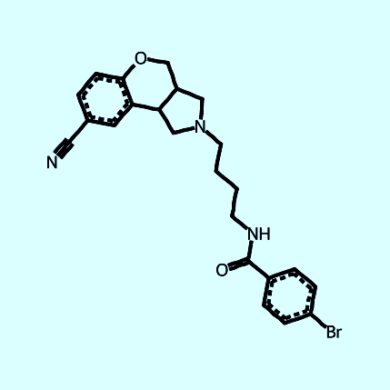 N#Cc1ccc2c(c1)C1CN(CCCCNC(=O)c3ccc(Br)cc3)CC1CO2